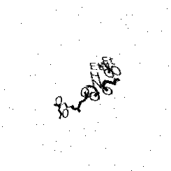 CCN(CC)C(=O)OC(C)C=CC(=O)NC1COC(CC=C(C)C=C[C@@H]2C[C@@]3(CO3)CC(C)O2)OC1